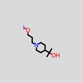 CC(C)(O)C1CCN(CCCOI)CC1